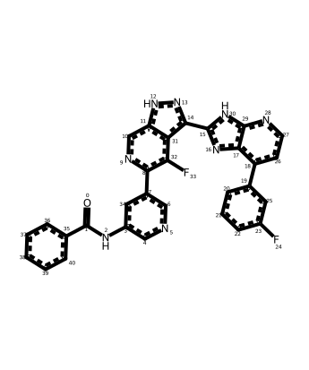 O=C(Nc1cncc(-c2ncc3[nH]nc(-c4nc5c(-c6cccc(F)c6)ccnc5[nH]4)c3c2F)c1)c1ccccc1